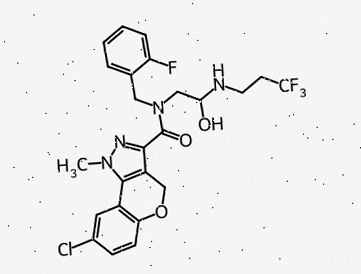 Cn1nc(C(=O)N(Cc2ccccc2F)CC(O)NCCC(F)(F)F)c2c1-c1cc(Cl)ccc1OC2